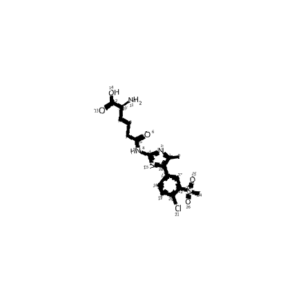 Cc1nc(NC(=O)CCC[C@H](N)C(=O)O)sc1-c1ccc(Cl)c(S(C)(=O)=O)c1